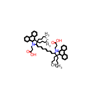 CCCCC1(CCCC)C(/C=C/C=C/C=C/C=C2/N(CCC(=O)O)c3c(c4ccccc4c4ccccc34)C2(CCCC)CCCC)=[N+](CCC(=O)O)c2c1c1ccccc1c1ccccc21